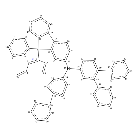 C=C/C=C(\C=C)C1(c2ccccc2)c2ccccc2-c2ccc(N(c3ccc(-c4ccccc4)cc3)c3ccc(-c4ccccc4)c(-c4ccccc4)c3)cc21